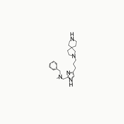 CN(Cc1ccccc1)Cc1nc(CCCN2CCC3(CCNCC3)C2)c[nH]1